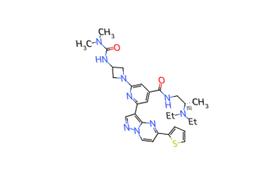 CCN(CC)[C@@H](C)CNC(=O)c1cc(-c2cnn3ccc(-c4cccs4)nc23)nc(N2CC(NC(=O)N(C)C)C2)c1